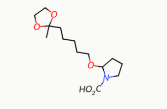 CC1(CCCCCOC2CCCN2C(=O)O)OCCO1